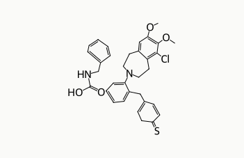 COc1cc2c(c(Cl)c1OC)CCN(c1ccccc1CC1=CCC(=S)C=C1)CC2.O=C(O)NCc1ccccc1